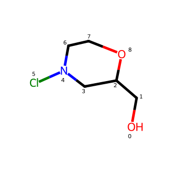 OCC1CN(Cl)CCO1